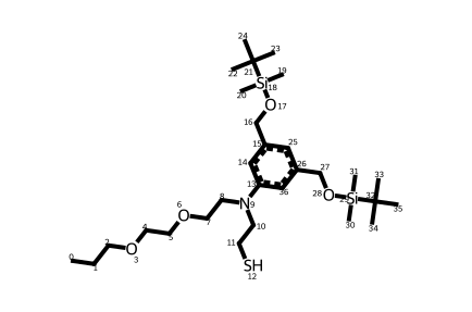 CCCOCCOCCN(CCS)c1cc(CO[Si](C)(C)C(C)(C)C)cc(CO[Si](C)(C)C(C)(C)C)c1